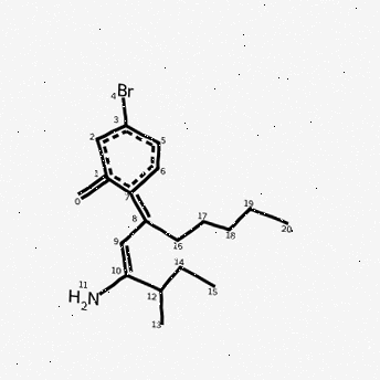 C=c1cc(Br)cc/c1=C(/C=C(/N)C(C)CC)CCCCC